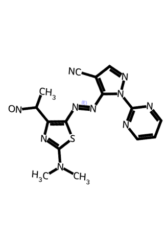 CC(N=O)c1nc(N(C)C)sc1/N=N/c1c(C#N)cnn1-c1ncccn1